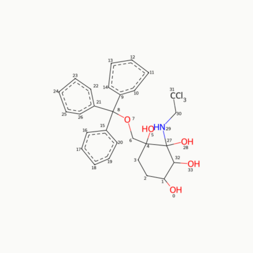 OC1CCC(O)(COC(c2ccccc2)(c2ccccc2)c2ccccc2)C(O)(NCC(Cl)(Cl)Cl)C1O